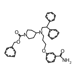 NC(=O)c1cccc(OCCCN(CC(c2ccccc2)c2ccccc2)C2CCN(C(=O)OCc3ccccc3)CC2)c1